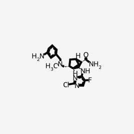 CN(Cc1cccc(N)c1)C[C@@H]1C[C@@H]2C[C@H]1[C@@H](Nc1nc(Cl)ncc1F)[C@H]2C(N)=O